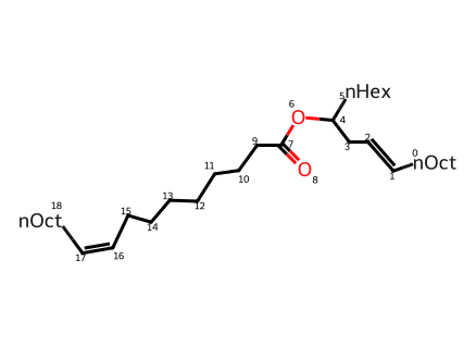 CCCCCCCCC=CCC(CCCCCC)OC(=O)CCCCCCC/C=C\CCCCCCCC